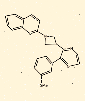 CSc1cccc(-c2nccnc2C2CN(c3ccc4ccccc4n3)C2)c1